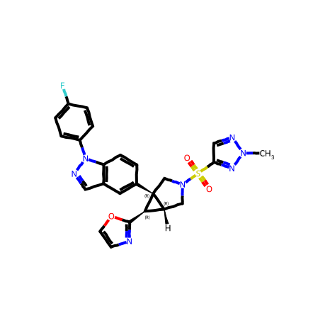 Cn1ncc(S(=O)(=O)N2C[C@@H]3[C@@H](c4ncco4)[C@]3(c3ccc4c(cnn4-c4ccc(F)cc4)c3)C2)n1